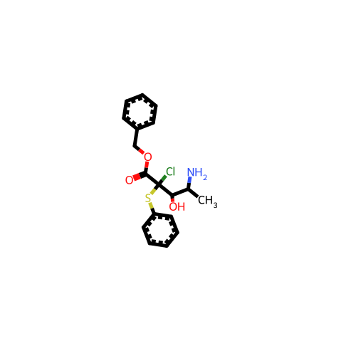 CC(N)C(O)C(Cl)(Sc1ccccc1)C(=O)OCc1ccccc1